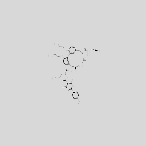 CCc1ccc(-c2nc(C)c(C(=O)N[C@@H](CCN)C(=O)N(C)[C@@H]3C(=O)N[C@@H](C)C(=O)N[C@H](C(=O)NCC#N)Cc4ccc(OCCN)c(c4)-c4cc3ccc4OCCN)c(C)n2)cc1